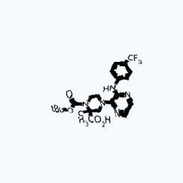 CC(C)(C)OC(=O)N1CCN(c2nccnc2Nc2ccc(C(F)(F)F)cc2)CC1(C)C(=O)O